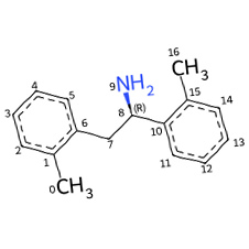 Cc1ccccc1C[C@@H](N)c1ccccc1C